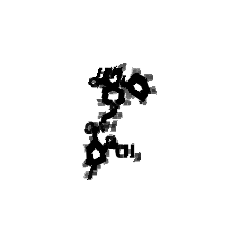 COc1cc(F)ccc1C(=O)NCCN1CCC2(CC1)C(=O)NCN2c1ccccc1